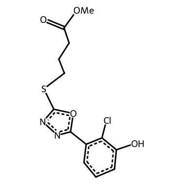 COC(=O)CCCSc1nnc(-c2cccc(O)c2Cl)o1